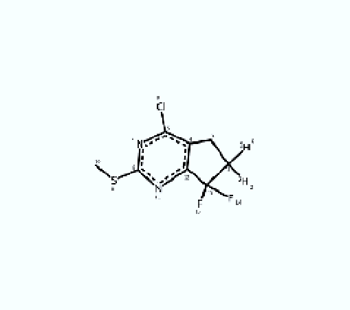 [2H]C1([2H])Cc2c(Cl)nc(SC)nc2C1(F)F